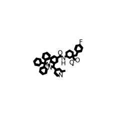 COC(=O)C1(Cc2ccc(F)cc2)CCCC(NC(=O)c2ccc3c(c2)c(-c2ccnc(C)c2)nn3C(c2ccccc2)(c2ccccc2)c2ccccc2)C1